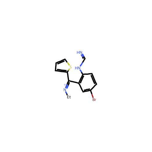 CC/N=C(/c1cccs1)c1cc(Br)ccc1NC=N